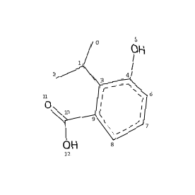 CC(C)c1c(O)cccc1C(=O)O